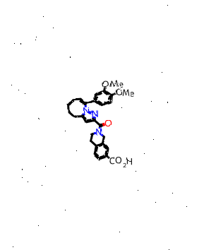 COc1ccc(/C2=C/C=C\CCc3cc(C(=O)N4CCc5ccc(C(=O)O)cc5C4)nn32)cc1OC